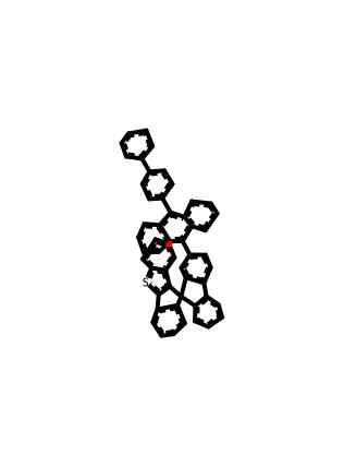 c1ccc(-c2ccc(-c3c4ccccc4c(-c4ccc5c(c4)C4(c6ccccc6-5)c5ccccc5-c5sc6ccccc6c54)c4ccccc34)cc2)cc1